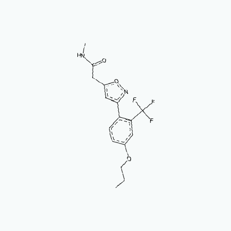 CCCOc1ccc(-c2cc(CC(=O)NC)on2)c(C(F)(F)F)c1